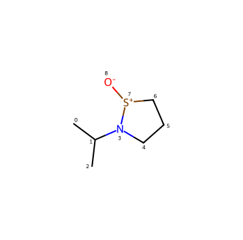 CC(C)N1CCC[S+]1[O-]